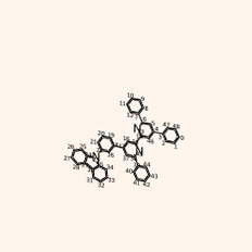 c1ccc(-c2cc(-c3ccccc3)nc(-c3cc(-c4cccc(-n5c6ccccc6c6ccccc65)c4)cc(-c4ccccc4)n3)c2)cc1